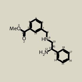 COC(=O)c1cccc(CNC[C@H](N)c2ccccc2)c1